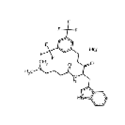 CN(C)CCCC(=O)NC(Cc1c[nH]c2ccccc12)C(=O)CCc1cc(C(F)(F)F)cc(C(F)(F)F)c1.Cl